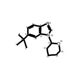 CC(C)(C)c1ccc2ncn(C3CCCCO3)c2c1